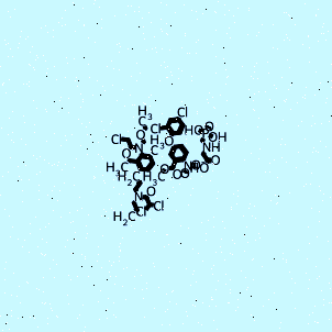 C=CCN(CC=C)C(=O)C(Cl)Cl.CCOCN(C(=O)CCl)c1c(C)cccc1CC.COC(=O)c1cc(Oc2ccc(Cl)cc2Cl)ccc1[N+](=O)[O-].O=C(O)CNCP(=O)(O)O